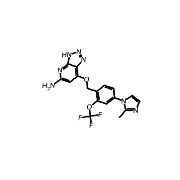 Cc1nccn1-c1ccc(COc2cc(N)nc3[nH]nnc23)c(OC(F)(F)F)c1